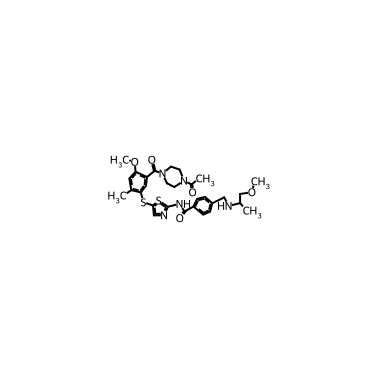 COCC(C)NCc1ccc(C(=O)Nc2ncc(Sc3cc(C(=O)N4CCN(C(C)=O)CC4)c(OC)cc3C)s2)cc1